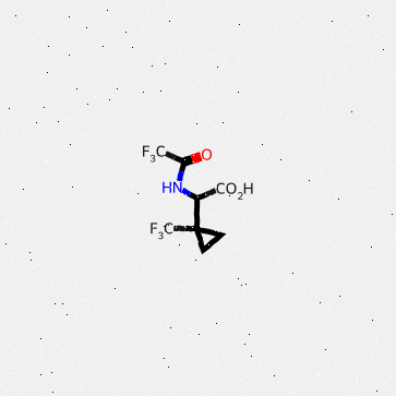 O=C(O)C(NC(=O)C(F)(F)F)C1(C(F)(F)F)CC1